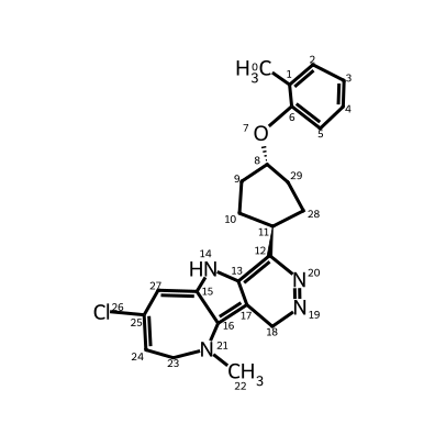 Cc1ccccc1O[C@H]1CC[C@H](C2=c3[nH]c4c(c3CN=N2)N(C)CC=C(Cl)C=4)CC1